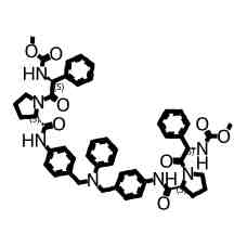 COC(=O)N[C@H](C(=O)N1CCC[C@H]1C(=O)Nc1ccc(CN(Cc2ccc(NC(=O)[C@@H]3CCCN3C(=O)[C@@H](NC(=O)OC)c3ccccc3)cc2)c2ccccc2)cc1)c1ccccc1